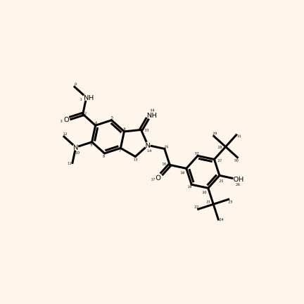 CNC(=O)c1cc2c(cc1N(C)C)CN(CC(=O)c1cc(C(C)(C)C)c(O)c(C(C)(C)C)c1)C2=N